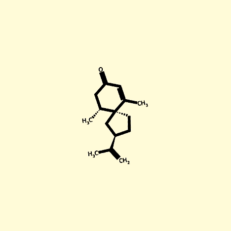 C=C(C)[C@@H]1CC[C@@]2(C1)C(C)=CC(=O)C[C@H]2C